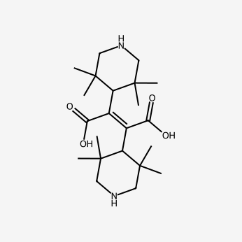 CC1(C)CNCC(C)(C)C1/C(C(=O)O)=C(\C(=O)O)C1C(C)(C)CNCC1(C)C